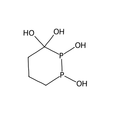 OP1CCCC(O)(O)P1O